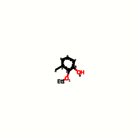 CCOc1c(C)cccc1O